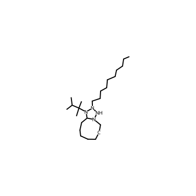 CCCCCCCCCCN1NN2CCCCCCCC2N1C(C)(C)C(C)C